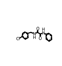 O=C(NCc1ccc(Cl)cc1)C(=O)Nc1ccccc1